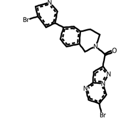 O=C(c1cc2ncc(Br)cn2n1)N1CCc2cc(-c3cncc(Br)c3)ccc2C1